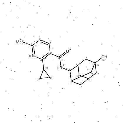 CSc1ncc(C(=O)NC2C3CC4CC2CC(O)(C4)C3)c(C2CC2)n1